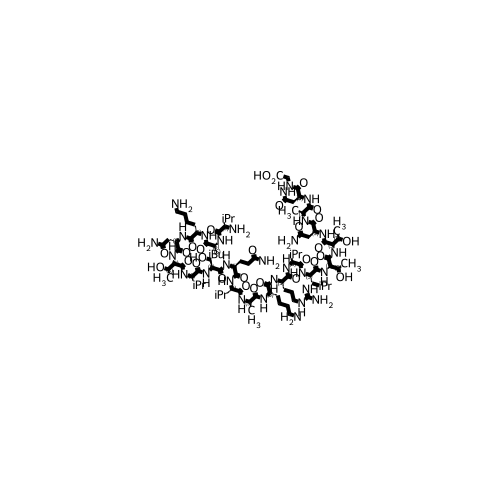 CC[C@H](C)[C@H](NC(=O)[C@@H](N)C(C)C)C(=O)N[C@@H](CCCCN)C(=O)N[C@@H](CC(N)=O)C(=O)N[C@H](C(=O)N[C@H](C(=O)N[C@@H](CO)C(=O)N[C@@H](CCC(N)=O)C(=O)N[C@H](C(=O)N[C@@H](C)C(=O)N[C@@H](CCCCN)C(=O)N[C@@H](CCCNC(=N)N)C(=O)N[C@H](C(=O)N[C@@H](CC(C)C)C(=O)N[C@H](C(=O)N[C@H](C(=O)N[C@@H](CC(N)=O)C(=O)N[C@@H](C)C(=O)N[C@@H](CC(N)=O)C(=O)NCC(=O)O)[C@@H](C)O)[C@@H](C)O)C(C)C)C(C)C)C(C)C)[C@@H](C)O